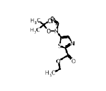 CCOC(=O)c1ncc(N(C=O)OC(C)(C)C)s1